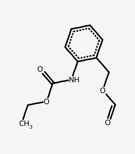 CCOC(=O)Nc1ccccc1COC=O